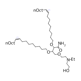 CCCCCCCC/C=C\CCCCCCCCOC(COCCN(CC)CCO)C(OCCCCCCCC/C=C\CCCCCCCC)C(N)=O